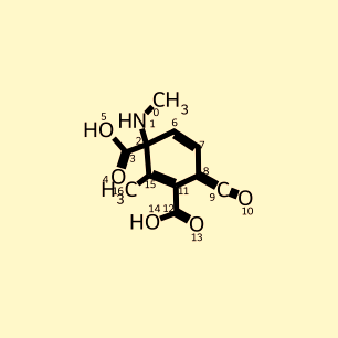 CNC1(C(=O)O)C=CC(=C=O)C(C(=O)O)=C1C